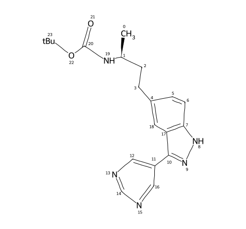 C[C@@H](CCc1ccc2[nH]nc(-c3cncnc3)c2c1)NC(=O)OC(C)(C)C